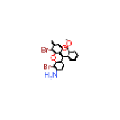 C=c1ccc2c(c1Br)Oc1c(ccc(N)c1Br)C=2c1ccccc1C(=O)OC